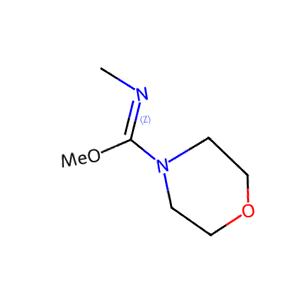 C/N=C(\OC)N1CCOCC1